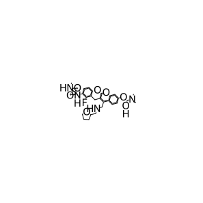 CNS(=O)(=O)Nc1cccc(Cc2c(CNCC3CCCO3)c3ccc(OC(O)N(C)C)cc3oc2=O)c1F